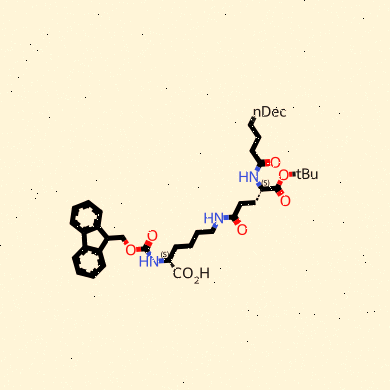 CCCCCCCCCCCCCC(=O)N[C@@H](CCC(=O)NCCCC[C@H](NC(=O)OCC1c2ccccc2-c2ccccc21)C(=O)O)C(=O)OC(C)(C)C